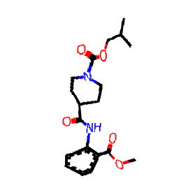 COC(=O)c1ccccc1NC(=O)C1CCN(C(=O)OCC(C)C)CC1